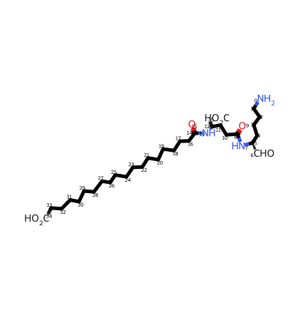 NCCCC[C@@H](C=O)NC(=O)CCC(NC(=O)CCCCCCCCCCCCCCCCCCC(=O)O)C(=O)O